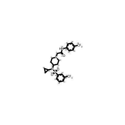 O=C(CN1CCC(N(C2CC2)S(=O)(=O)c2cccc(C(F)(F)F)c2)CC1)Nc1ccc(C(F)(F)F)cc1